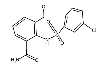 NC(=O)c1cccc(C[O])c1NS(=O)(=O)c1cccc(Cl)c1